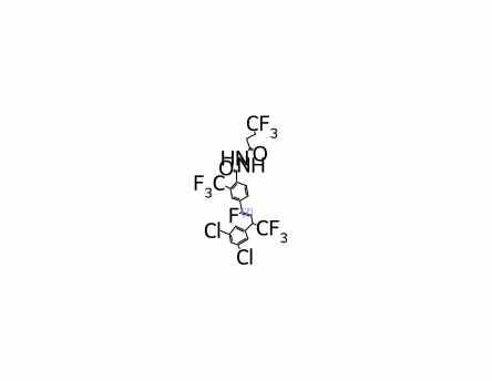 O=C(CCC(F)(F)F)NNC(=O)c1ccc(/C(F)=C/C(c2cc(Cl)cc(Cl)c2)C(F)(F)F)cc1C(F)(F)F